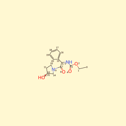 CCOC(=O)NC(C(=O)N1CC[C@H](O)C1)c1ccccc1